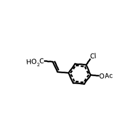 CC(=O)Oc1ccc(C=CC(=O)O)cc1Cl